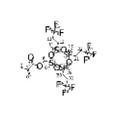 C=C(C)C(=O)OC[Si]1(C)O[Si](C)(CCC(F)(F)F)O[Si](C)(CCC(F)(F)F)O[Si](C)(CCC(F)(F)F)O1